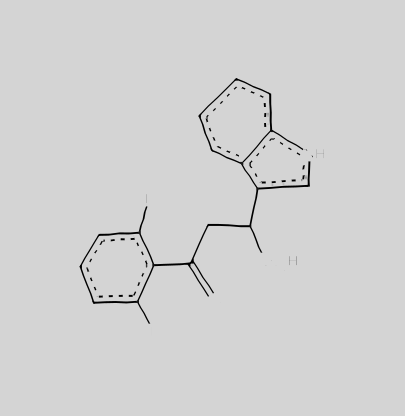 O=C(CC(C(=O)O)c1c[nH]c2ccccc12)c1c(F)cccc1F